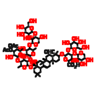 CC(=O)OC1C(C)OC(OC2C(C)OC(OC(=O)[C@]34CCC(C)(C)CC3C3=CCC5[C@@]6(C)CC[C@H](OC7OC(C(=O)O)C(O)C(OC8OCC(O)C(O)C8O)C7OC7OC(CO)C(O)C(O)C7O)[C@@](C)(C=O)C6CC[C@@]5(C)C3(C)CC4O)C(OC3OC(C)C(OC4OCC(O)C(OC5OC(CO)C(O)C(O)C5O)C4O)C(O)C3O)C2O)C(O)C1OC(C)=O